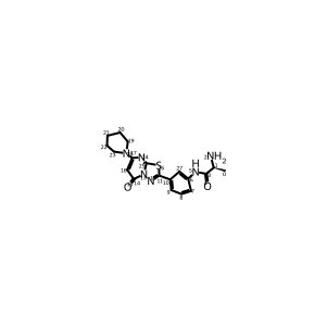 C[C@H](N)C(=O)Nc1cccc(-c2nn3c(=O)cc(N4CCCCC4)nc3s2)c1